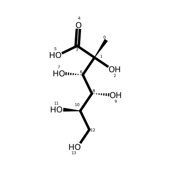 C[C@](O)(C(=O)O)[C@@H](O)[C@H](O)[C@H](O)CO